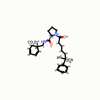 CCOC(=O)[C@@]1(CNC(=O)[C@H]2CCCN2C(=O)CCCC[C@@](C#N)(c2ccccc2)C(C)C)C=CC=CC1